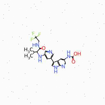 CC(C)C(Nc1cncc(-c2c[nH]c3ncc(NC(=O)O)cc23)c1)C(=O)NCC(F)(F)F